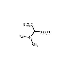 CCOC(=O)C(C(=O)OCC)N(C)C(C)=O